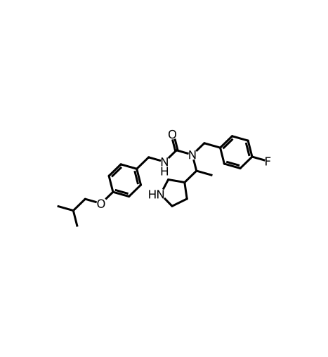 CC(C)COc1ccc(CNC(=O)N(Cc2ccc(F)cc2)C(C)C2CCNC2)cc1